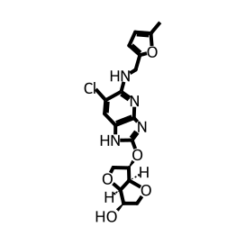 Cc1ccc(CNc2nc3nc(O[C@@H]4CO[C@H]5[C@@H]4OC[C@H]5O)[nH]c3cc2Cl)o1